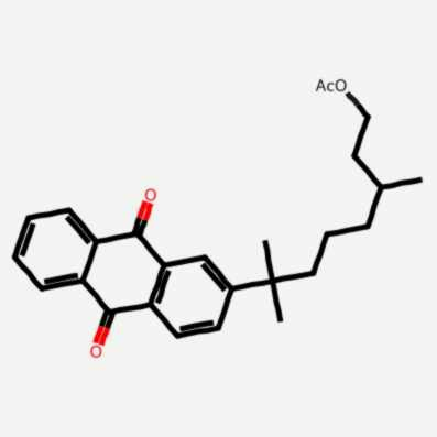 CC(=O)OCCC(C)CCCC(C)(C)c1ccc2c(c1)C(=O)c1ccccc1C2=O